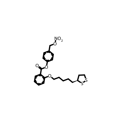 O=C(Oc1ccc(CO[N+](=O)[O-])cc1)c1ccccc1OCCCCC[C@H]1CCSS1